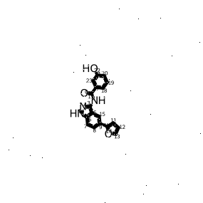 O=C(Nc1n[nH]c2ccc(-c3ccco3)cc12)c1cccc(O)c1